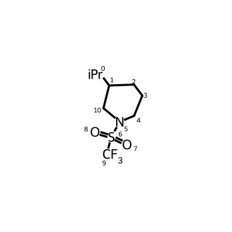 CC(C)C1CCCN(S(=O)(=O)C(F)(F)F)C1